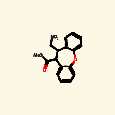 COC(=O)C1c2ccccc2Oc2ccccc2C1C[N+](=O)[O-]